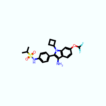 CC(C)S(=O)(=O)Nc1ccc(-c2c(N)c3ccc(OC(F)F)cc3n2C2CCC2)cc1